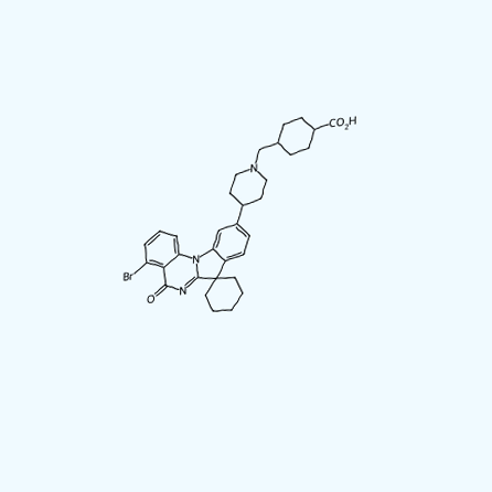 O=C(O)C1CCC(CN2CCC(c3ccc4c(c3)-n3c(nc(=O)c5c(Br)cccc53)C43CCCCC3)CC2)CC1